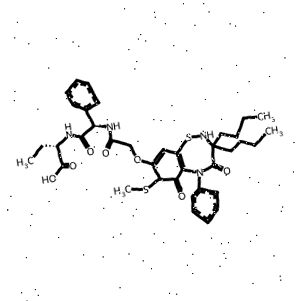 CCCCC1(CCCC)NSC2=C(C(=O)C(SC)C(OCC(=O)N[C@@H](C(=O)N[C@@H](CC)C(=O)O)c3ccccc3)=C2)N(c2ccccc2)C1=O